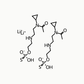 CC(=O)N(CCNCCOP([O-])(O)=S)C1CC1.CC(=O)N(CCNCCO[P@]([O-])(O)=S)C1CC1.[Li+].[Li+]